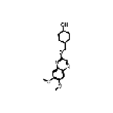 COc1cc2ncc(OCC3CCC(O)CC3)nc2cc1OC